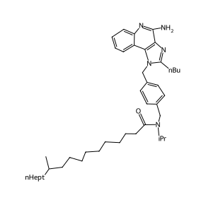 CCCCCCCC(C)CCCCCCCCCC(=O)N(Cc1ccc(Cn2c(CCCC)nc3c(N)nc4ccccc4c32)cc1)C(C)C